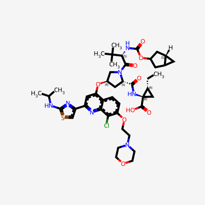 CC[C@@H]1C[C@]1(NC(=O)[C@@H]1C[C@@H](Oc2cc(-c3csc(NC(C)C)n3)nc3c(Cl)c(OCCN4CCOCC4)ccc23)CN1C(=O)[C@@H](NC(=O)OC1CC2C[C@H]2C1)C(C)(C)C)C(=O)O